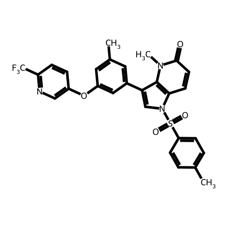 Cc1ccc(S(=O)(=O)n2cc(-c3cc(C)cc(Oc4ccc(C(F)(F)F)nc4)c3)c3c2ccc(=O)n3C)cc1